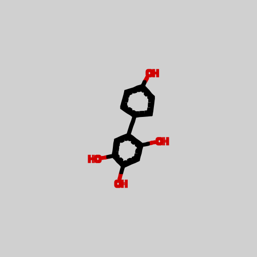 Oc1ccc(-c2cc(O)c(O)cc2O)cc1